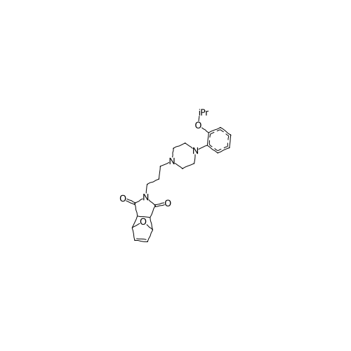 CC(C)Oc1ccccc1N1CCN(CCCN2C(=O)C3C4C=CC(O4)C3C2=O)CC1